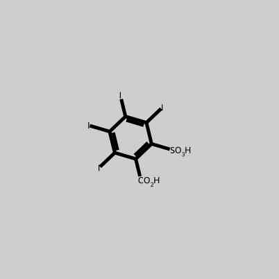 O=C(O)c1c(I)c(I)c(I)c(I)c1S(=O)(=O)O